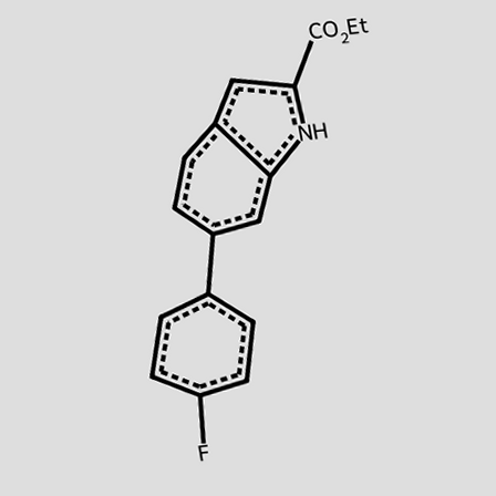 CCOC(=O)c1cc2ccc(-c3ccc(F)cc3)cc2[nH]1